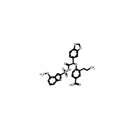 CCCc1cc(C(=O)O)ccc1OC(C(=O)NS(=O)(=O)c1cc2c(OC)cccc2s1)c1ccc2c(c1)OCO2